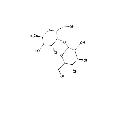 C[C@H]1OC(CO)[C@H](O[C@H]2OC(CO)[C@@H](O)[C@H](O)C2O)[C@H](O)C1O